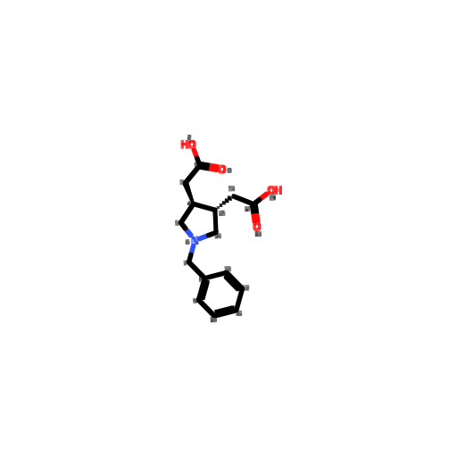 O=C(O)C[C@@H]1CN(Cc2ccccc2)C[C@H]1CC(=O)O